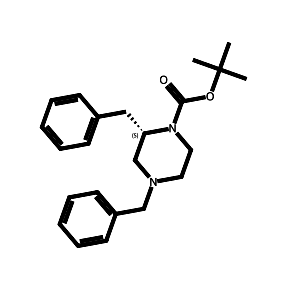 CC(C)(C)OC(=O)N1CCN(Cc2ccccc2)C[C@@H]1Cc1ccccc1